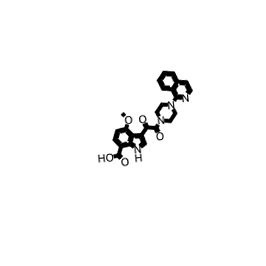 COc1ccc(C(=O)O)c2[nH]cc(C(=O)C(=O)N3CCN(c4nccc5ccccc45)CC3)c12